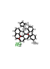 CC(C)(C)c1ccc2c(c1)Cc1c-2ccc(C(C)(C)C)[c]1[Hf]([C]1=CC=CC1)=[C](c1cccc2ccccc12)c1cccc2ccccc12.Cl.Cl